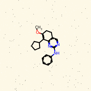 COC1=C(C2CCCC2)c2nc(Nc3ccccc3)ncc2CC1